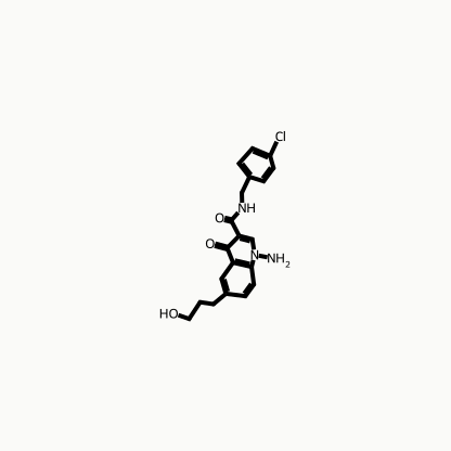 Nn1cc(C(=O)NCc2ccc(Cl)cc2)c(=O)c2cc(CCCO)ccc21